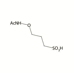 [CH2]C(=O)NOCCCS(=O)(=O)O